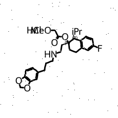 COCC(=O)O[C@@]1(CCNCCCc2ccc3c(c2)OCO3)CCc2cc(F)ccc2[C@H]1C(C)C.Cl